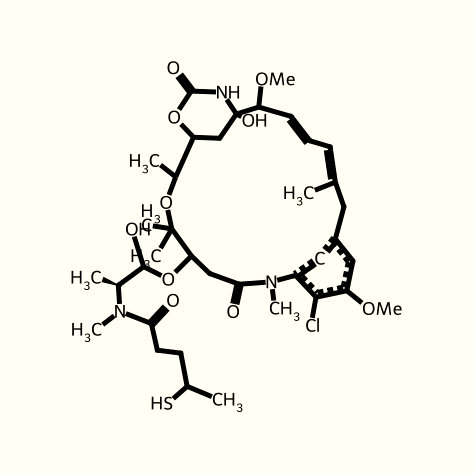 COc1cc2cc(c1Cl)N(C)C(=O)CC(OC(O)[C@H](C)N(C)C(=O)CCC(C)S)C(C)(C)OC(C)C1CC(O)(NC(=O)O1)C(OC)/C=C/C=C(\C)C2